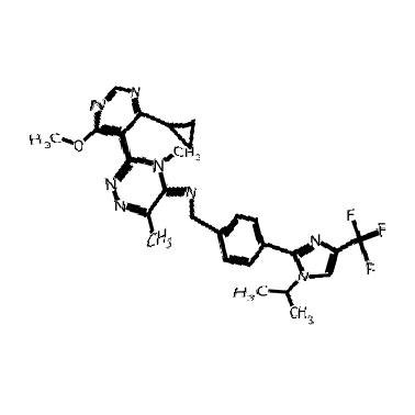 COc1ncnc(C2CC2)c1-c1nnc(C)c(=NCc2ccc(-c3nc(C(F)(F)F)cn3C(C)C)cc2)n1C